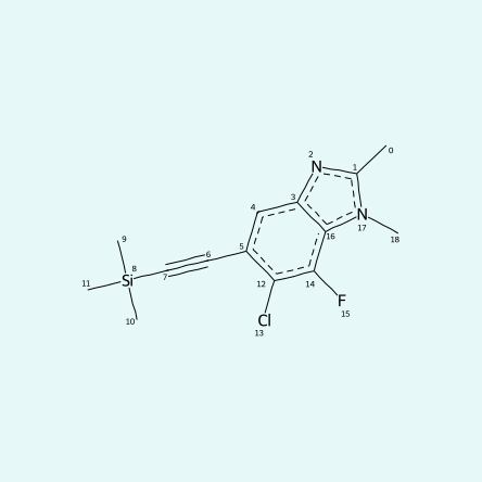 Cc1nc2cc(C#C[Si](C)(C)C)c(Cl)c(F)c2n1C